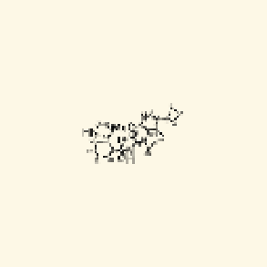 COc1ncc(C2CCC2)c(C)c1C1(C(=O)NS(=O)(=O)c2cccc3c2CCCN3)CC1